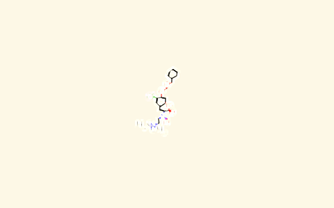 CN(C)CCN(C=O)c1cc2cc(Cl)c(OCOCc3ccccc3)cc2oc1=O